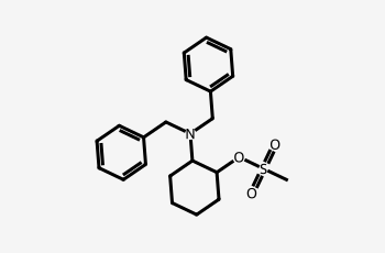 CS(=O)(=O)OC1CCCCC1N(Cc1ccccc1)Cc1ccccc1